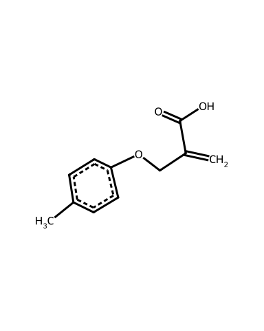 C=C(COc1ccc(C)cc1)C(=O)O